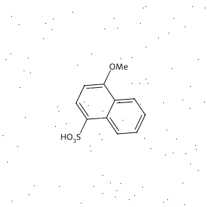 COc1ccc(S(=O)(=O)O)c2ccccc12